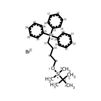 CC(C)(C)[Si](C)(C)OCCCC[P+](c1ccccc1)(c1ccccc1)c1ccccc1.[Br-]